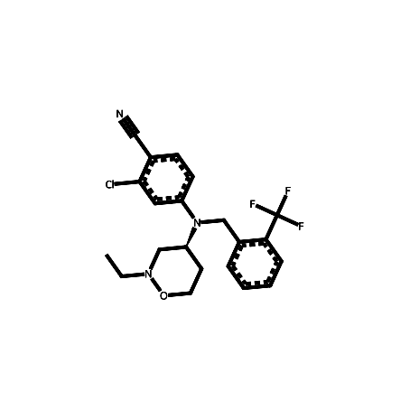 CCN1C[C@@H](N(Cc2ccccc2C(F)(F)F)c2ccc(C#N)c(Cl)c2)CCO1